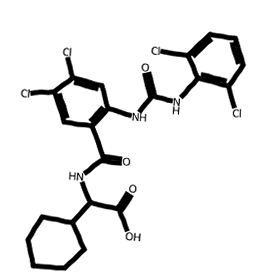 O=C(Nc1cc(Cl)c(Cl)cc1C(=O)NC(C(=O)O)C1CCCCC1)Nc1c(Cl)cccc1Cl